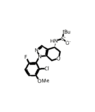 COc1ccc(F)c(-n2ncc3c2COC[C@H]3N[S+]([O-])C(C)(C)C)c1Cl